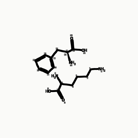 NCCCCC(N)C(=O)O.N[C@@H](Cc1ccccc1)C(=O)O